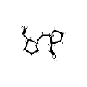 O=C[C@@H]1CCCN1CN1CCC[C@H]1C=O